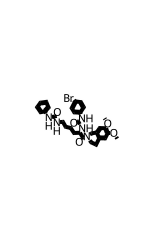 COc1cc2c(cc1OC)CN(C(=O)C(CCCCNC(=O)Nc1ccccc1)NC(=O)Nc1ccc(Br)cc1)CC2